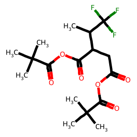 CC(C(CC(=O)OC(=O)C(C)(C)C)C(=O)OC(=O)C(C)(C)C)C(F)(F)F